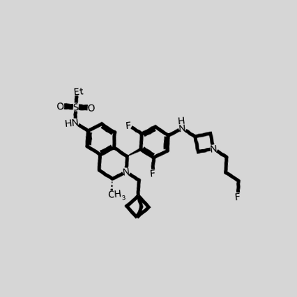 CCS(=O)(=O)Nc1ccc2c(c1)C[C@@H](C)N(CC13CC(C1)C3)[C@@H]2c1c(F)cc(NC2CN(CCCF)C2)cc1F